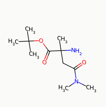 CN(C)C(=O)CC(C)(N)C(=O)OC(C)(C)C